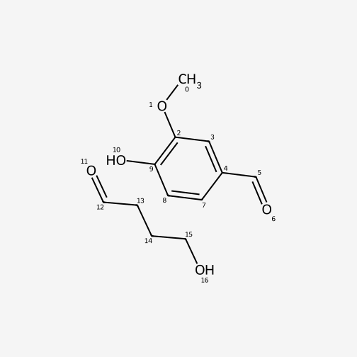 COc1cc(C=O)ccc1O.O=CCCCO